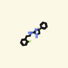 Fc1ccccc1CCNC1=N[C@@H](c2ccccc2)CN1